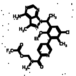 CCOc1c(C(C)n2nc(C)c3c(N)ncnc32)cc(Cl)c(C)c1-c1ccc(C(=O)N(C)COC(=O)C(F)(F)F)nc1